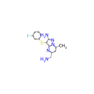 Cc1cc(CN)nc2c(Sc3cccc(F)c3)c(N)nn12